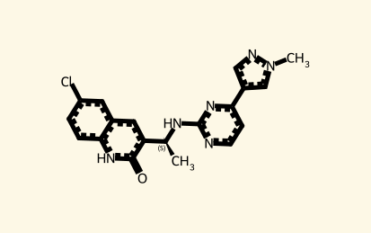 C[C@H](Nc1nccc(-c2cnn(C)c2)n1)c1cc2cc(Cl)ccc2[nH]c1=O